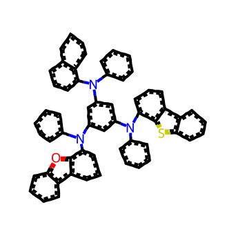 c1ccc(N(c2cc(N(c3ccccc3)c3cccc4c3oc3ccccc34)cc(N(c3ccccc3)c3cccc4c3sc3ccccc34)c2)c2cccc3ccccc23)cc1